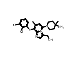 Cc1cc(N2CCC(C)(N)CC2)n2c(CO)cnc2c1Sc1cccc(Cl)c1Cl